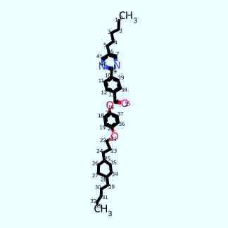 CCCCCCc1cnc(-c2ccc(C(=O)Oc3ccc(OCCCC4CCC(CCCCC)CC4)cc3)cc2)nc1